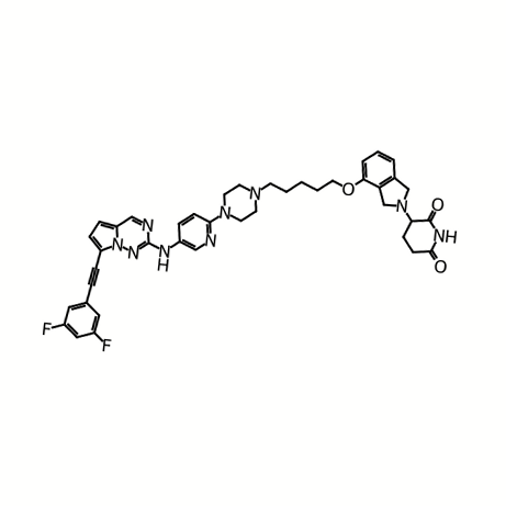 O=C1CCC(N2Cc3cccc(OCCCCCN4CCN(c5ccc(Nc6ncc7ccc(C#Cc8cc(F)cc(F)c8)n7n6)cn5)CC4)c3C2)C(=O)N1